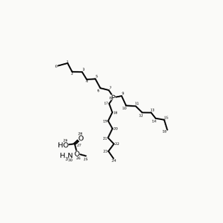 CCCCCCCCP(CCCCCCCC)CCCCCCCC.COC(=O)O.N